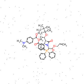 C=CCOC(=O)C(N1C(=O)[C@H]([C@@H](C)O[Si](C)(C)C(C)(C)C)[C@@H]1[C@@H](C)C(=O)OC(=O)c1ccc(N(C)C)cc1)=P(c1ccccc1)(c1ccccc1)c1ccccc1